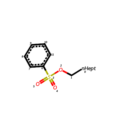 CCCCCCCCOS(=O)(=O)c1cc[c]cc1